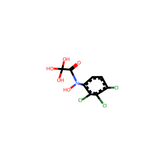 O=C(N(O)c1ccc(Cl)c(Cl)c1Cl)C(O)(O)O